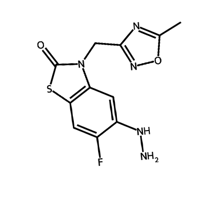 Cc1nc(Cn2c(=O)sc3cc(F)c(NN)cc32)no1